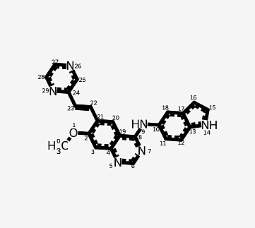 COc1cc2ncnc(Nc3ccc4[nH]ccc4c3)c2cc1/C=C/c1cnccn1